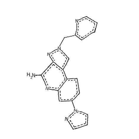 Nc1nc2cc(-n3cccn3)ccc2c2cn(Cc3ccccn3)nc12